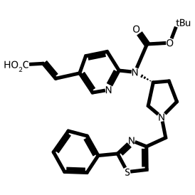 CC(C)(C)OC(=O)N(c1ccc(/C=C/C(=O)O)cn1)[C@@H]1CCN(Cc2csc(-c3ccccc3)n2)C1